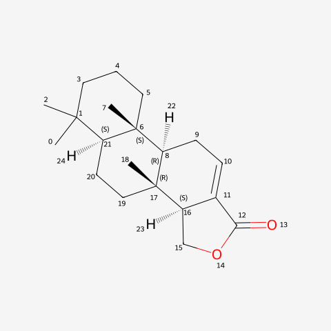 CC1(C)CCC[C@]2(C)[C@H]3CC=C4C(=O)OC[C@H]4[C@]3(C)CC[C@@H]12